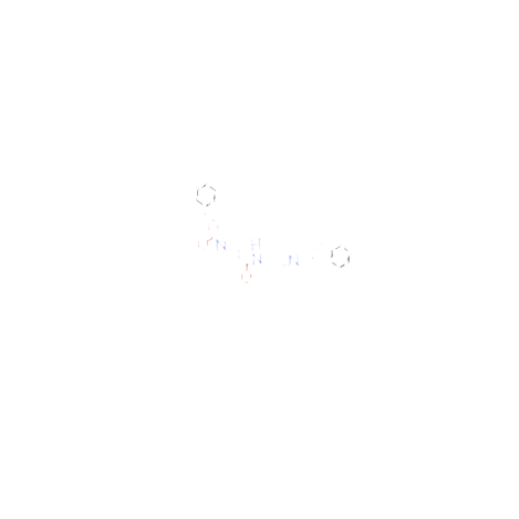 O=C(NCCCN1CCC(Cc2ccccc2)CC1)C1CCN(C(=O)OCc2ccccc2)CC1